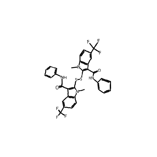 Cn1c(SSc2c(C(=O)Nc3ccccc3)c3cc(C(F)(F)F)ccc3n2C)c(C(=O)Nc2ccccc2)c2cc(C(F)(F)F)ccc21